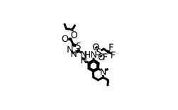 CCC(C)OC(=O)c1nnc(N=Nc2cc3c(cc2NS(=O)(=O)CC(F)(F)F)N(C)C(CC)CC3)s1